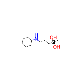 C[Si](O)(O)CCCNC1CCCCC1